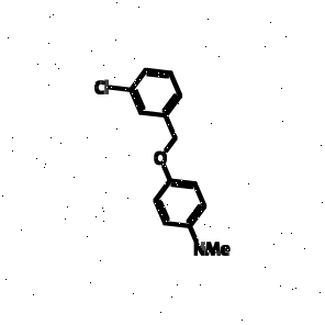 CNc1ccc(OCc2cccc(Cl)c2)cc1